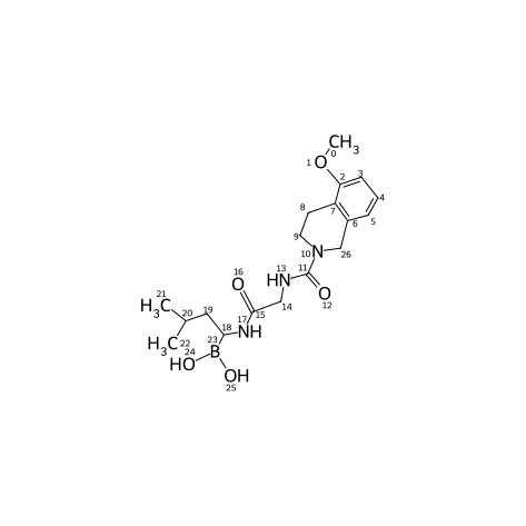 COc1cccc2c1CCN(C(=O)NCC(=O)NC(CC(C)C)B(O)O)C2